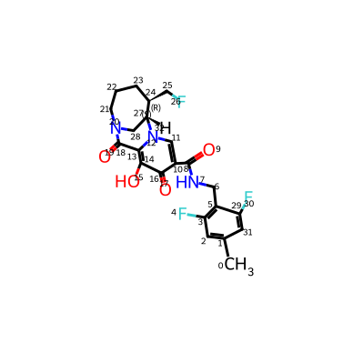 Cc1cc(F)c(CNC(=O)c2cn3c(c(O)c2=O)C(=O)N2CCC[C@@H](CF)[C@H]3C2)c(F)c1